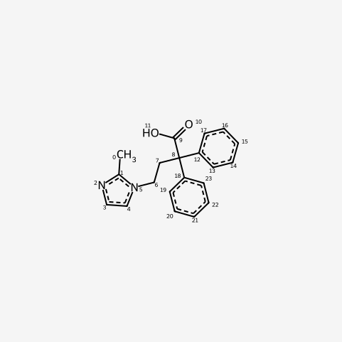 Cc1nccn1CCC(C(=O)O)(c1ccccc1)c1ccccc1